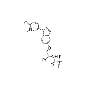 CC(C)C(COc1ccc2c(cnn2-c2ccc(=O)n(C)c2)c1)NC(=O)C(C)(F)F